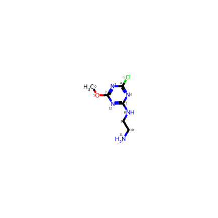 COc1nc(Cl)nc(NCCN)n1